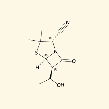 CC(O)[C@@H]1C(=O)N2[C@@H]1SC(C)(C)[C@@H]2C#N